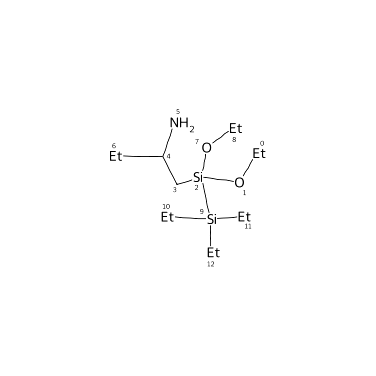 CCO[Si](CC(N)CC)(OCC)[Si](CC)(CC)CC